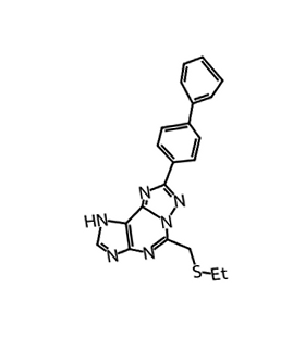 CCSCc1nc2nc[nH]c2c2nc(-c3ccc(-c4ccccc4)cc3)nn12